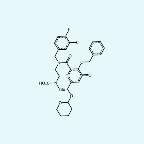 CC(C)(C)N(CCN(Cc1ccc(F)c(Cl)c1)C(=O)c1oc(COC2CCCCO2)cc(=O)c1OCc1ccccc1)C(=O)O